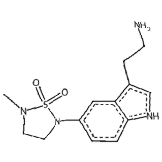 CN1CCN(c2ccc3[nH]cc(CCN)c3c2)S1(=O)=O